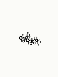 CC(C)c1nn(-c2cc(O[C@@H](CF)C(F)F)c(C(=O)Nc3c(F)cccc3F)cc2F)c(=O)n1C